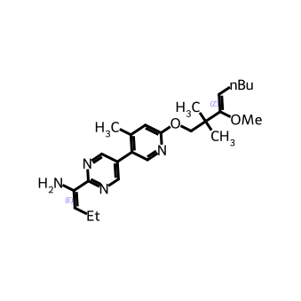 CC/C=C(/N)c1ncc(-c2cnc(OCC(C)(C)/C(=C/CCCC)OC)cc2C)cn1